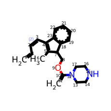 C=C/C=C\C1=C(C)C(COC(=C)N2CCNCC2)c2ccccc21